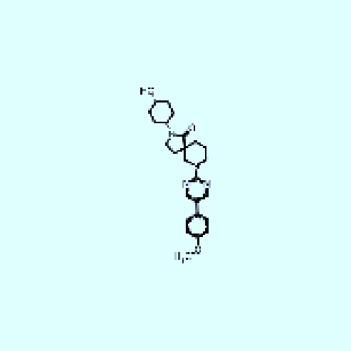 COc1ccc(-c2cnc(N3CCCC4(CCN([C@H]5CC[C@@H](O)CC5)C4=O)C3)nc2)cc1